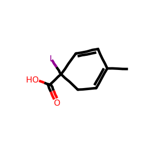 CC1=CCC(I)(C(=O)O)C=C1